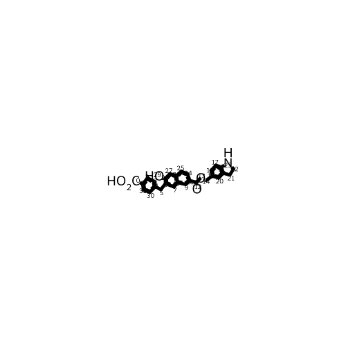 O=C(O)c1ccc(Cc2cc3cc(C(=O)OCc4ccc5c(c4)CCN5)ccc3cc2O)cc1